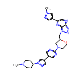 CN1CCC(n2cc(-c3cnc(N4CCOC(Cn5nnc6ncc(-c7cnn(C)c7)nc65)C4)nc3)cn2)CC1